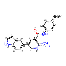 CC(=O)Nc1ccc(NC(=O)c2cc(-c3ccc4[nH]ccc4c3)cnc2N)cc1